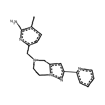 Cc1ccc(CN2CCn3nc(-c4ccccn4)cc3C2)nc1N